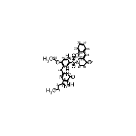 CCCc1n[nH]c2c(=O)[nH]c(Cc3cc(S(=O)(=O)N4CCC(=O)/C(=C/c5ccccc5OC)C4)ccc3OCC)nc12